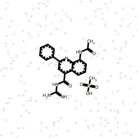 CC(=O)Nc1cccc2c(C(=O)NC(=N)N)cc(-c3ccccc3)nc12.CS(=O)(=O)O